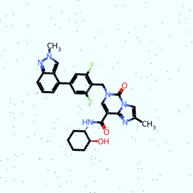 Cc1cn2c(=O)n(Cc3c(F)cc(-c4cccc5nn(C)cc45)cc3F)cc(C(=O)N[C@H]3CCCC[C@@H]3O)c2n1